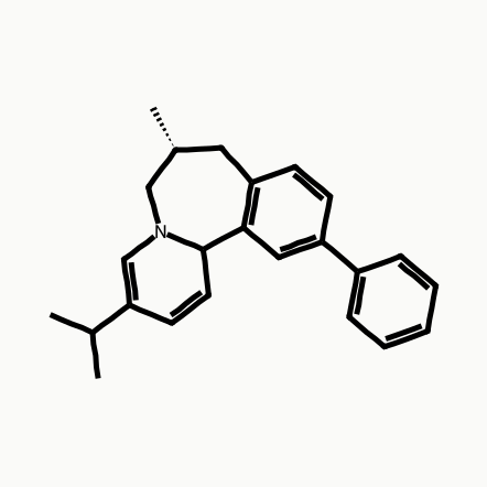 CC(C)C1=CN2C[C@H](C)Cc3ccc(-c4ccccc4)cc3C2C=C1